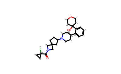 O=C(N1CC2(CCC(N3CCC(c4ccccc4C4(O)CCOCC4)CC3)C2)C1)C1(F)CC1